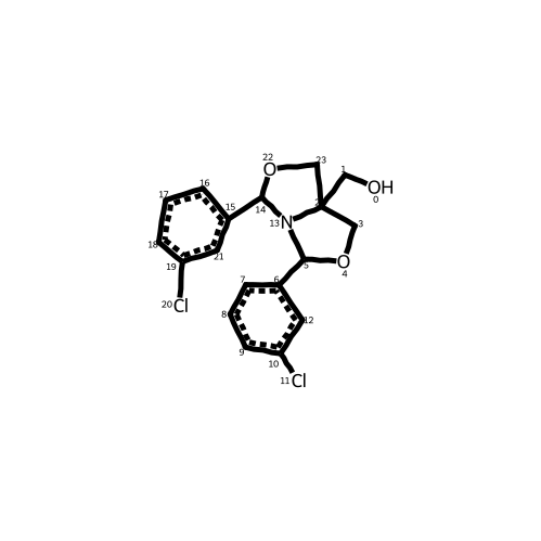 OCC12COC(c3cccc(Cl)c3)N1C(c1cccc(Cl)c1)OC2